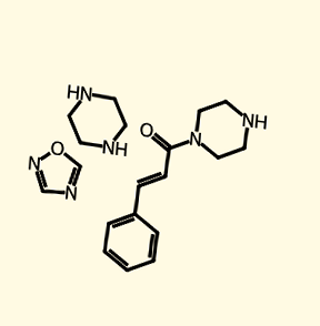 C1CNCCN1.O=C(C=Cc1ccccc1)N1CCNCC1.c1ncon1